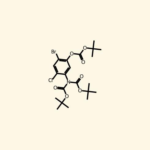 CC(C)(C)OC(=O)Oc1cc(N(C(=O)OC(C)(C)C)C(=O)OC(C)(C)C)c(Cl)cc1Br